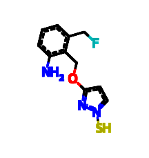 Nc1cccc(CF)c1COc1ccn(S)n1